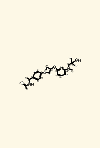 CC(=O)NC(C)c1ccc(N2CC(Oc3cccc(N(C)CC(C)(C)O)n3)C2)cc1